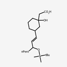 CCCCCC(C=CC1CCCC(O)(CC(=O)O)C1)O[Si](C)(C)C(C)(C)C